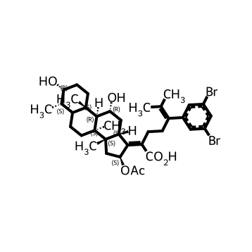 CC(=O)O[C@H]1C[C@@]2(C)[C@H](C[C@@H](O)[C@@H]3[C@@]4(C)CC[C@@H](O)[C@@H](C)C4CC[C@@]32C)C1=C(CCC(=C(C)C)c1cc(Br)cc(Br)c1)C(=O)O